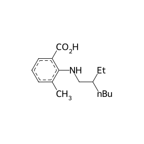 CCCCC(CC)CNc1c(C)cccc1C(=O)O